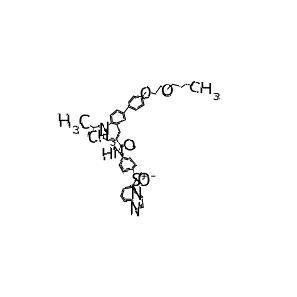 CCCCOCCOc1ccc(-c2ccc3c(c2)C=C(C(=O)Nc2ccc([S+]([O-])c4cccc5nccn45)cc2)CCN3CC(C)C)cc1